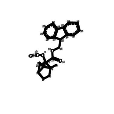 CC1(C)C2CCC1(C)C(O[C]=O)(C(=O)OCC1c3ccccc3-c3ccccc31)C2